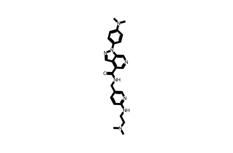 CN(C)CCNc1ccc(CNC(=O)c2cncc3c2cnn3-c2ccc(N(C)C)cc2)cn1